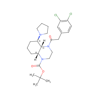 CC(C)(C)OC(=O)N1CCN(C(=O)Cc2ccc(Cl)c(Cl)c2)[C@H]2[C@H](N3CCCC3)CCC[C@H]21